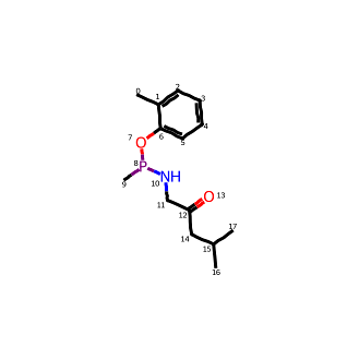 Cc1ccccc1OP(C)NCC(=O)CC(C)C